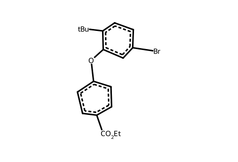 CCOC(=O)c1ccc(Oc2cc(Br)ccc2C(C)(C)C)cc1